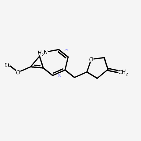 C=C1COC(CC(/C=C\N)=C/C2=C(OCC)C2)C1